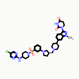 Cn1nc(N2CCC(=O)NC2=O)c2ccc(C3CCN(C[C@H]4CCN(c5cccc(S(=O)(=O)N6CCC(Nc7ncc(Cl)cn7)CC6)c5)C4)CC3)cc21